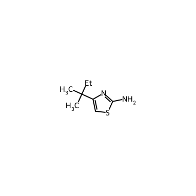 CCC(C)(C)c1csc(N)n1